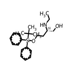 CCN[C@H](CO)CCO[Si](c1ccccc1)(c1ccccc1)C(C)(C)C